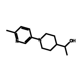 Cc1ccc(N2CCC(C(C)O)CC2)cn1